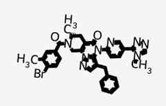 Cc1cc(C(=O)N2Cc3c(c(=O)n(-c4ccc(-c5nncn5C)cn4)c4c(Cc5ccccc5)cnn34)C[C@H]2C)ccc1Br